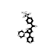 CS(=O)(=O)c1ccc(C(=O)c2cc(-c3ccncc3)c(N3CCOCC3)s2)cc1